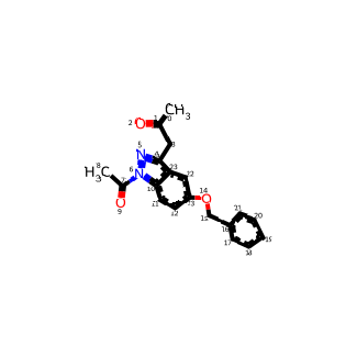 CC(=O)Cc1nn(C(C)=O)c2ccc(OCc3ccccc3)cc12